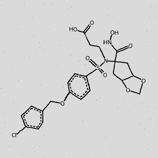 O=C(O)CCN(C1(C(=O)NO)CC2OCOC2C1)S(=O)(=O)c1ccc(OCc2ccc(Cl)cc2)cc1